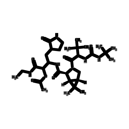 CCNC(=O)C(OC(C)=O)C(CC1CCNC1=O)NC(=O)[C@@H]1[C@@H]2[C@H](CN1C(=O)C(NC(=O)NC(C)(C)C)C(C)(C)C)C2(C)C